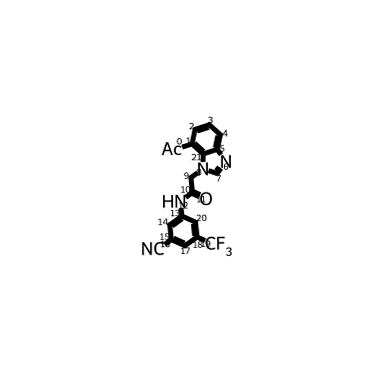 CC(=O)c1cccc2ncn(CC(=O)Nc3cc(C#N)cc(C(F)(F)F)c3)c12